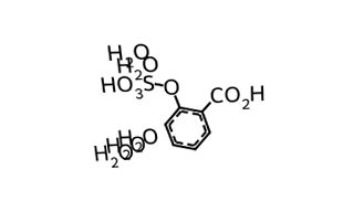 O.O.O.O.O.O=C(O)c1ccccc1OS(=O)(=O)O